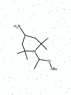 CCCCOC(C)N1C(C)(C)CC(N)CC1(C)C